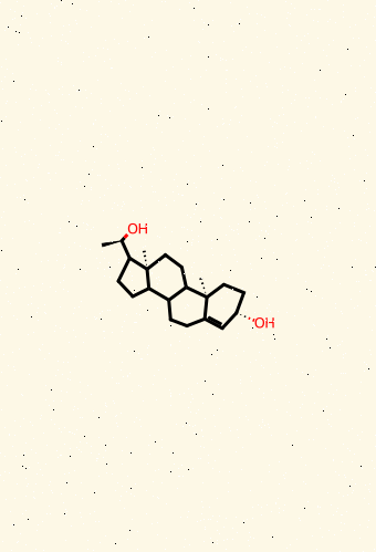 C[C@@H](O)C1CCC2C3CCC4=C[C@@H](O)CC[C@]4(C)C3CC[C@@]21C